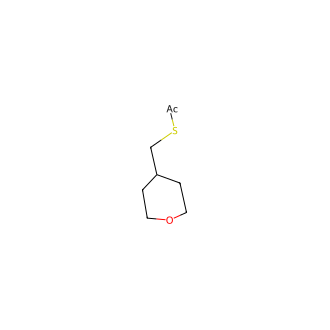 CC(=O)SCC1CCOCC1